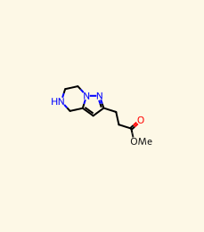 COC(=O)CCc1cc2n(n1)CCNC2